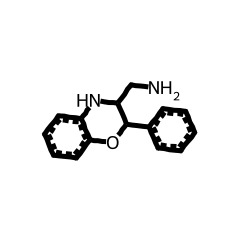 NCC1Nc2ccccc2OC1c1ccccc1